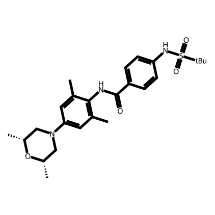 Cc1cc(N2C[C@@H](C)O[C@@H](C)C2)cc(C)c1NC(=O)c1ccc(NS(=O)(=O)C(C)(C)C)cc1